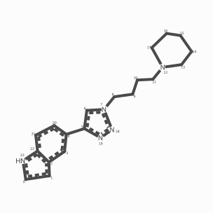 c1cc2cc(-c3cn(CCCCN4CCCCC4)nn3)ccc2[nH]1